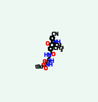 CC(C)(C)OC(=O)N[S+]([O-])NCCNC(=O)c1ccc2c(c1)C(C)(C)c1[nH]c3cc(C#N)ccc3c1C2=O